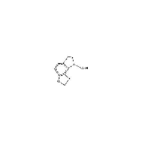 O=C(O)C1C=Cc2ccc3c(c21)CCO3